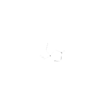 C=CC1(CO)CCC(=O)O1